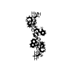 CN[C@@H](C)C(=S)N[C@H]1CCSC2CC(C)(C)[C@@H](C(=O)NC[C@@H](CCc3ccccc3C)C(=O)N3CCN(C(=O)[C@@H]4CCc5ccccc5[C@H]4NC(=O)[C@H]4N5C(=O)[C@@H](NC(=S)[C@H](C)NC)CCSC5CC4(C)C)CC3)N2C1=O